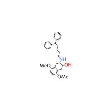 COc1ccc(OC)c2c1CC(O)C(NCCCCC(c1ccccc1)c1ccccc1)C2